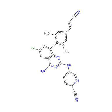 Cc1cc(/C=C/C#N)cc(C)c1-c1cc(F)cc2c(N)nc(Nc3ccc(C#N)nc3)nc12